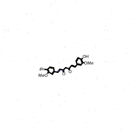 COc1cc(C=CC(=O)CC(=O)/C=C/c2ccc(C(C)C)c(OC)c2)ccc1O